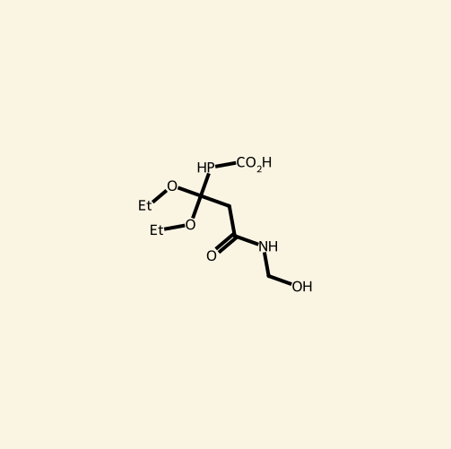 CCOC(CC(=O)NCO)(OCC)PC(=O)O